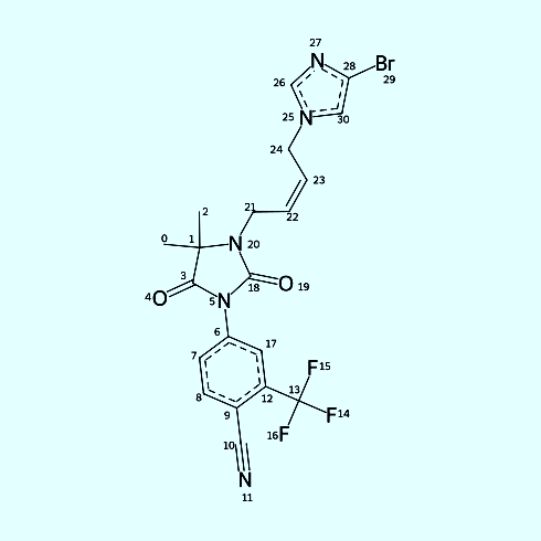 CC1(C)C(=O)N(c2ccc(C#N)c(C(F)(F)F)c2)C(=O)N1C/C=C\Cn1cnc(Br)c1